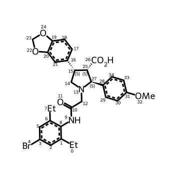 CCc1cc(Br)cc(CC)c1NC(=O)CN1C[C@H](c2ccc3c(c2)OCO3)[C@H](C(=O)O)[C@H]1c1ccc(OC)cc1